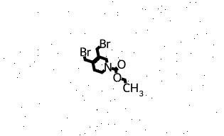 CCOC(=O)N1CCC(CBr)=C(CBr)C1